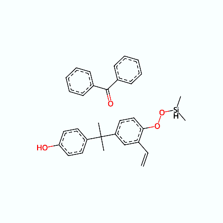 C=Cc1cc(C(C)(C)c2ccc(O)cc2)ccc1OO[SiH](C)C.O=C(c1ccccc1)c1ccccc1